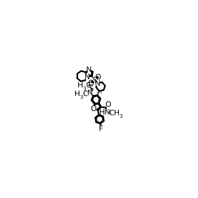 CNC(=O)c1c(-c2ccc(F)cc2)oc2cc(N(C)SC)c([C@@H]3CCCN(S(=O)(=O)c4cnc5n4CCCCC5)C3)cc12